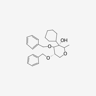 CC1OC[C@H](OCc2ccccc2)C(OCc2ccccc2)[C@@]1(O)C1CCCCC1